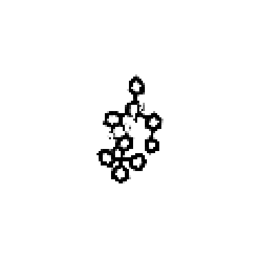 c1ccc(-c2cccc(-c3nc(-c4ccccc4)cc(-c4cccc5c4Oc4ccc6c(c4O5)-c4ccccc4C6(c4ccccc4)c4ccccc4)n3)c2)cc1